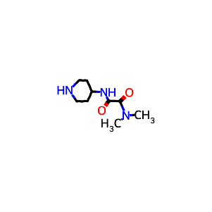 CN(C)C(=O)C(=O)NC1CCNCC1